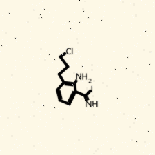 N=C(I)c1cccc(CCCCl)c1N